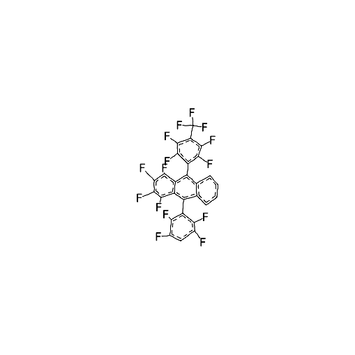 Fc1cc(F)c(F)c(-c2c3ccccc3c(-c3c(F)c(F)c(C(F)(F)F)c(F)c3F)c3c(F)c(F)c(F)c(F)c23)c1F